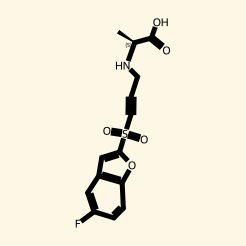 C[C@H](NCC#CS(=O)(=O)c1cc2cc(F)ccc2o1)C(=O)O